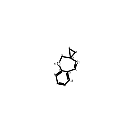 C1=NC2(CC2)COc2ccccc21